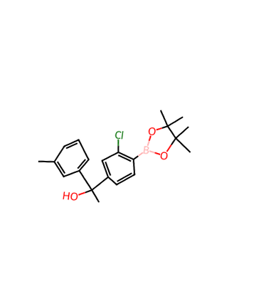 Cc1cccc(C(C)(O)c2ccc(B3OC(C)(C)C(C)(C)O3)c(Cl)c2)c1